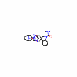 CN(C)C(=O)N1CC2(CCN(C3CC4CCC(C3)N4c3cnccn3)CC2)c2ccccc21